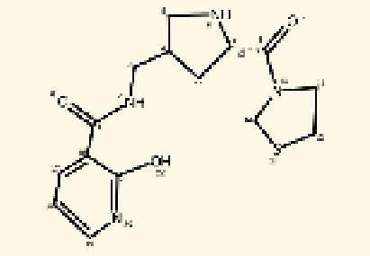 O=C(NCC1CN[C@H](C(=O)N2CCSC2)C1)c1cccnc1O